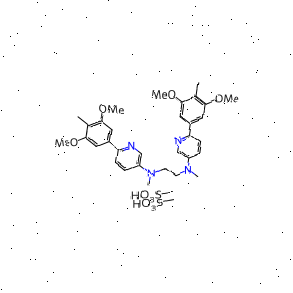 COc1cc(-c2ccc(N(C)CCN(C)c3ccc(-c4cc(OC)c(C)c(OC)c4)nc3)cn2)cc(OC)c1C.CS(=O)(=O)O.CS(=O)(=O)O